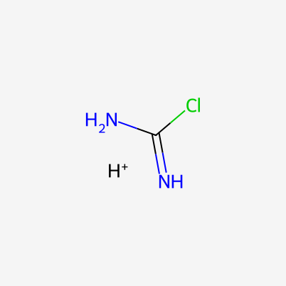 N=C(N)Cl.[H+]